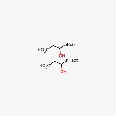 CCCCCCCC(O)CC(=O)O.CCCCCCCCCC(O)CC(=O)O